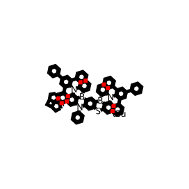 CC(C)(C)c1cc2c3c(c1)N(c1c(-c4ccccc4)cc(-c4ccccc4)cc1-c1ccccc1)c1ccccc1B3c1cc3c(cc1S2)N(c1ccccc1)c1cc(N2C4CC5CC6CC2CC56C4)cc2c1B3c1ccccc1N2c1c(-c2ccccc2)cc(-c2ccccc2)cc1-c1ccccc1